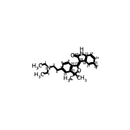 CCN(CC)CCc1ccc2c(c1)C(C)(C)O/C2=C1/C(=O)Nc2ccc(F)cc21